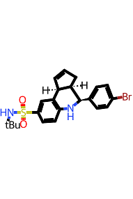 CC(C)(C)NS(=O)(=O)c1ccc2c(c1)[C@H]1C=CC[C@H]1[C@@H](c1ccc(Br)cc1)N2